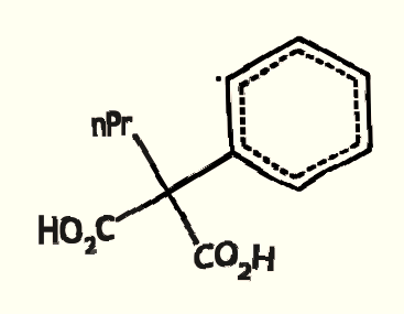 CCCC(C(=O)O)(C(=O)O)c1[c]cccc1